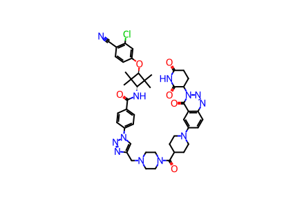 CC1(C)[C@H](NC(=O)c2ccc(-n3cc(CN4CCN(C(=O)C5CCN(c6ccc7nnn(C8CCC(=O)NC8=O)c(=O)c7c6)CC5)CC4)nn3)cc2)C(C)(C)[C@H]1Oc1ccc(C#N)c(Cl)c1